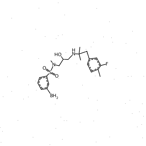 Bc1cccc(S(=O)(=O)N(C)CC(O)CNC(C)(C)Cc2ccc(C)c(F)c2)c1